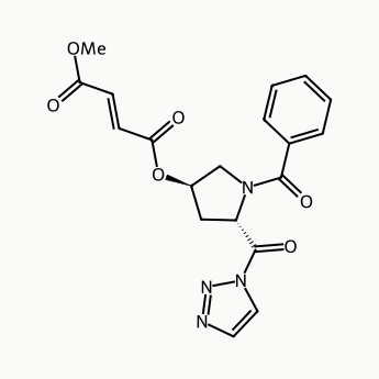 COC(=O)/C=C/C(=O)O[C@@H]1C[C@@H](C(=O)n2ccnn2)N(C(=O)c2ccccc2)C1